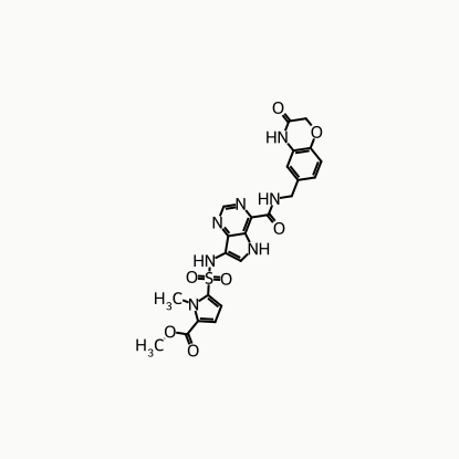 COC(=O)c1ccc(S(=O)(=O)Nc2c[nH]c3c(C(=O)NCc4ccc5c(c4)NC(=O)CO5)ncnc23)n1C